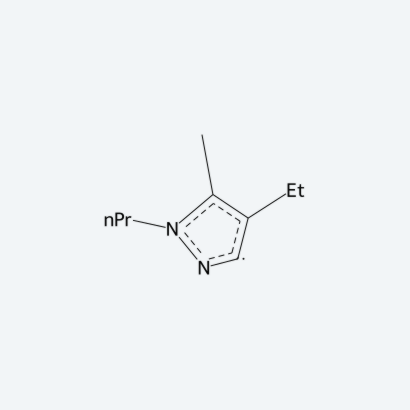 CCCn1n[c]c(CC)c1C